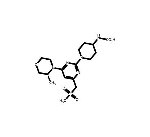 C[C@H]1COCCN1c1cc(CS(C)(=O)=O)nc(N2CCC(NC(=O)O)CC2)n1